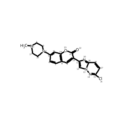 CN1CCN(c2ccc3cc(-c4cn5nc(Cl)ccc5n4)c(=O)oc3c2)CC1